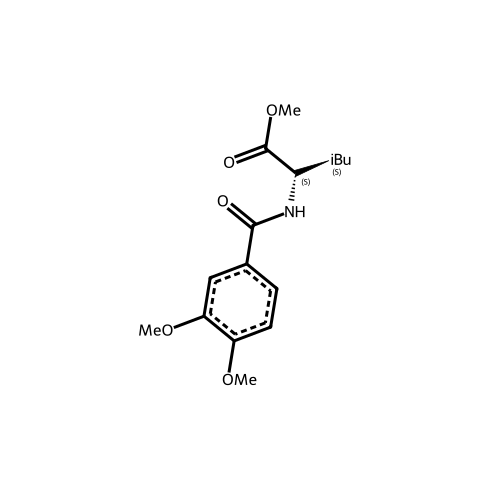 CC[C@H](C)[C@H](NC(=O)c1ccc(OC)c(OC)c1)C(=O)OC